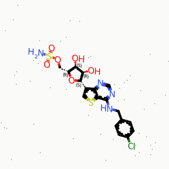 NS(=O)(=O)OC[C@H]1O[C@@H](c2csc3c(NCc4ccc(Cl)cc4)ncnc23)[C@H](O)[C@@H]1O